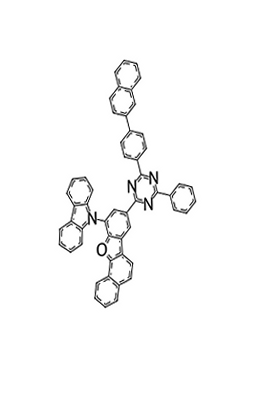 c1ccc(-c2nc(-c3ccc(-c4ccc5ccccc5c4)cc3)nc(-c3cc(-n4c5ccccc5c5ccccc54)c4oc5c6ccccc6ccc5c4c3)n2)cc1